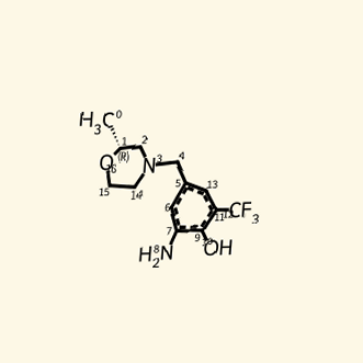 C[C@@H]1CN(Cc2cc(N)c(O)c(C(F)(F)F)c2)CCO1